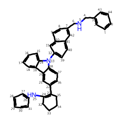 c1ccc(CNCc2ccc3cc(-n4c5ccccc5c5cc(C6=C(Nc7ccccc7)CCCC6)ccc54)ccc3c2)cc1